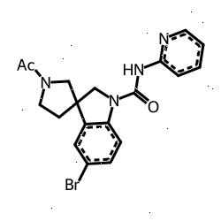 CC(=O)N1CCC2(C1)CN(C(=O)Nc1ccccn1)c1ccc(Br)cc12